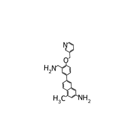 Cc1cc(N)cc2cc(-c3ccc(OCc4cccnc4)c(CN)c3)ccc12